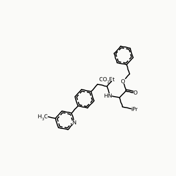 CCOC(=O)C(Cc1ccc(-c2cc(C)ccn2)cc1)NC(CC(C)C)C(=O)OCc1ccccc1